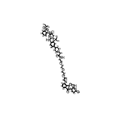 Cc1cc(Nc2ncc(Cl)c(Nc3ccccc3S(=O)(=O)C(C)C)n2)c(OC(C)C)cc1C1CCN(CC(=O)NCCOCCOCCOCCNc2cccc3c2C(=O)N(C2CCC(=O)NC2=O)C3=O)CC1